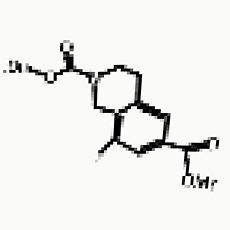 COC(=O)c1cc(I)c2c(c1)CCN(C(=O)OC(C)(C)C)C2